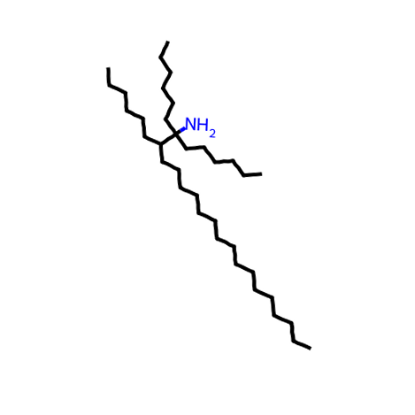 CCCCCCCCCCCCCCCCC(CCCCCC)C(N)(CCCCCC)CCCCCC